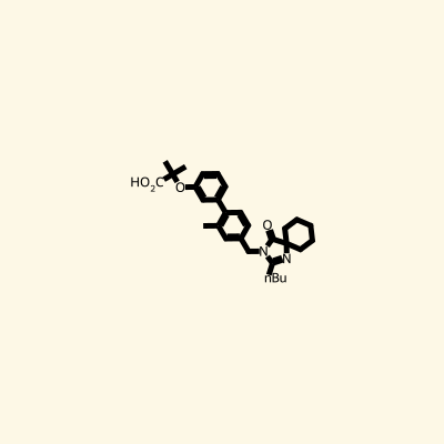 CCCCC1=NC2(CCCCC2)C(=O)N1Cc1ccc(-c2cccc(OC(C)(C)C(=O)O)c2)c(C)c1